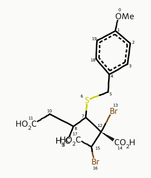 COc1ccc(CSC(C(C)CC(=O)O)[C@@](Br)(C(=O)O)C(Br)C(=O)O)cc1